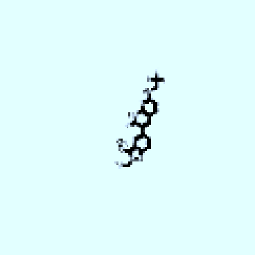 [2H]Cn1nc2ccc(-c3cc4ccc(NCC(F)(F)F)nc4[nH]c3=O)cc2c1OC